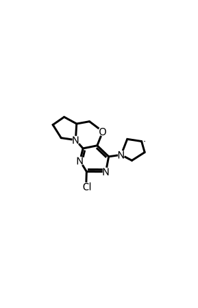 Clc1nc(N2C[CH]CC2)c2c(n1)N1CCCC1CO2